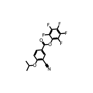 CC(C)Oc1ccc(C(=O)Oc2c(F)c(F)c(F)c(F)c2F)cc1C#N